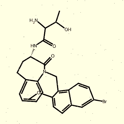 COc1ccc2cc(Br)ccc2c1CN1C(=O)[C@@H](NC(=O)C(N)C(C)O)CCc2ccccc21